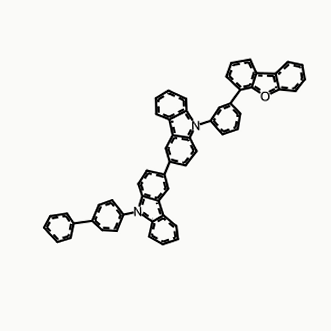 c1ccc(-c2ccc(-n3c4ccccc4c4cc(-c5ccc6c(c5)c5ccccc5n6-c5cccc(-c6cccc7c6oc6ccccc67)c5)ccc43)cc2)cc1